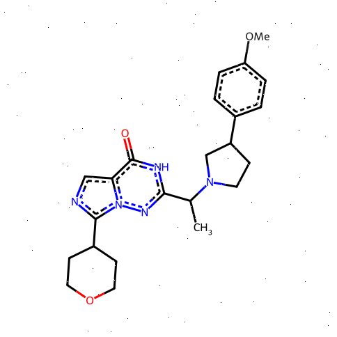 COc1ccc(C2CCN(C(C)c3nn4c(C5CCOCC5)ncc4c(=O)[nH]3)C2)cc1